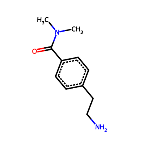 CN(C)C(=O)c1ccc(CCN)cc1